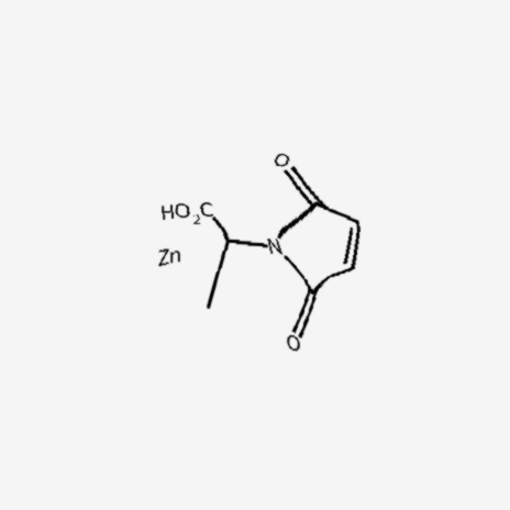 CC(C(=O)O)N1C(=O)C=CC1=O.[Zn]